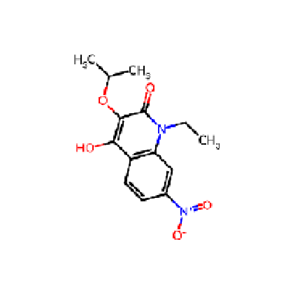 CCn1c(=O)c(OC(C)C)c(O)c2ccc([N+](=O)[O-])cc21